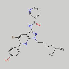 CC(C)CCCCn1nc(NC(=O)c2cccnc2)c2cc(Br)c(-c3ccc(O)cc3)nc21